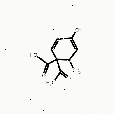 CC(=O)C1(C(=O)O)C=CC(C)=CC1C